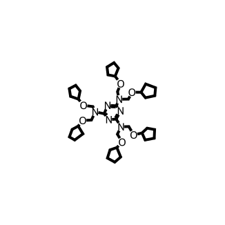 C1CCC(OCN(COC2CCCC2)c2nc(N(COC3CCCC3)COC3CCCC3)nc(N(COC3CCCC3)COC3CCCC3)n2)C1